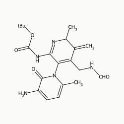 C=C1C(CNC=O)=C(n2c(C)ccc(N)c2=O)C(NC(=O)OC(C)(C)C)=NC1C